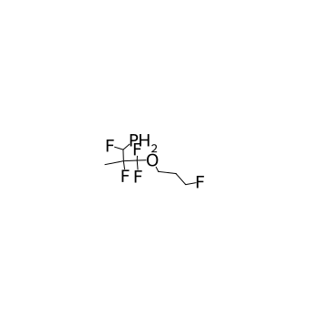 CC(F)(C(F)P)C(F)(F)OCCCF